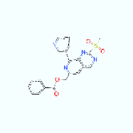 CS(=O)(=O)c1ncc2cc(COC(=O)c3ccccc3)nc(-c3cccnc3)c2n1